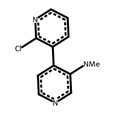 CNc1cnccc1-c1cccnc1Cl